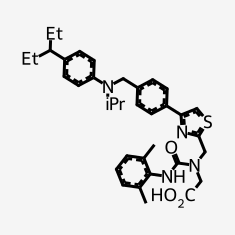 CCC(CC)c1ccc(N(Cc2ccc(-c3csc(CN(CC(=O)O)C(=O)Nc4c(C)cccc4C)n3)cc2)C(C)C)cc1